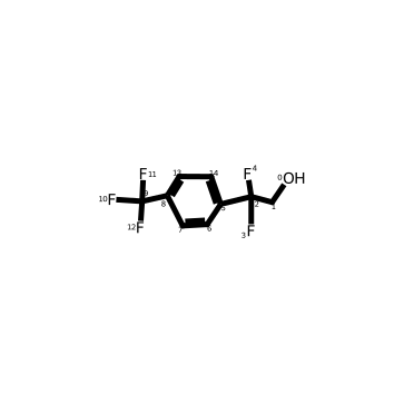 OCC(F)(F)c1ccc(C(F)(F)F)cc1